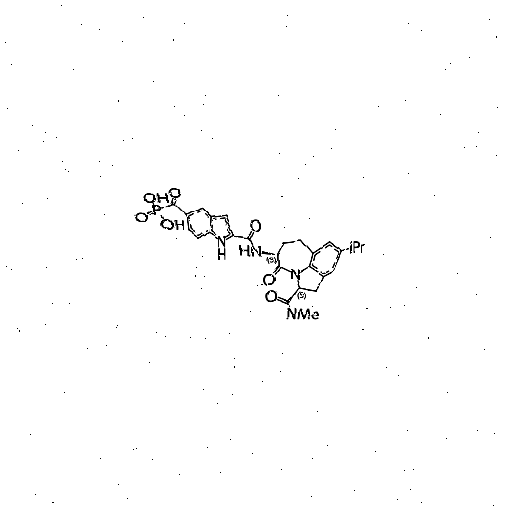 CNC(=O)[C@@H]1Cc2cc(C(C)C)cc3c2N1C(=O)[C@@H](NC(=O)c1cc2cc(C(=O)P(=O)(O)O)ccc2[nH]1)CC3